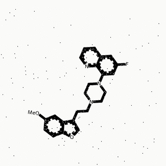 COc1ccc2occ(CCN3CCN(c4cc(F)cc5cccnc45)CC3)c2c1